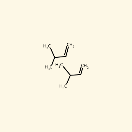 C=CC(C)C.C=CC(C)C